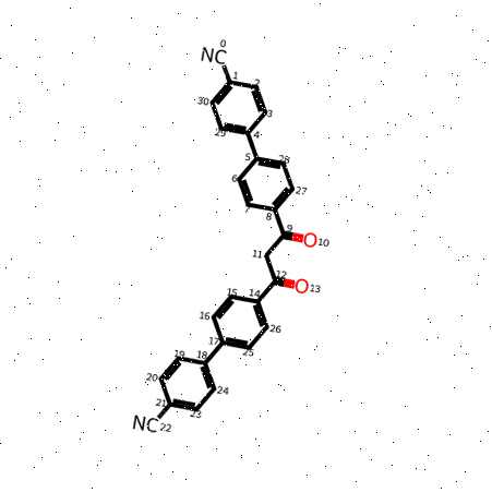 N#Cc1ccc(-c2ccc(C(=O)CC(=O)c3ccc(-c4ccc(C#N)cc4)cc3)cc2)cc1